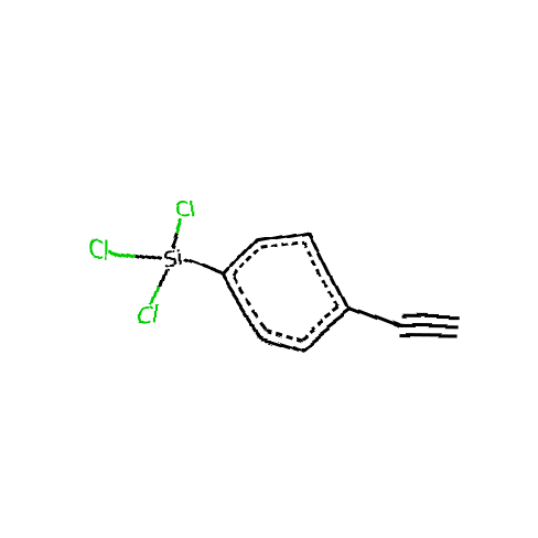 C#Cc1ccc([Si](Cl)(Cl)Cl)cc1